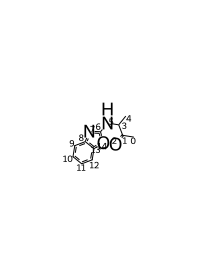 CC(=O)C(C)Nc1nc2ccccc2o1